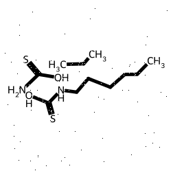 CCC.CCCCCCNC(O)=S.NC(O)=S